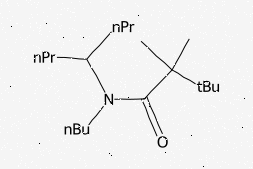 CCCCN(C(=O)C(C)(C)C(C)(C)C)C(CCC)CCC